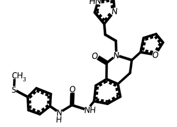 CSc1ccc(NC(=O)Nc2ccc3c(c2)C(=O)N(CCc2c[nH]cn2)C(c2ccco2)C3)cc1